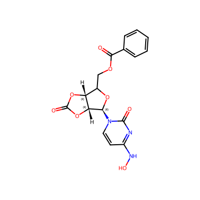 O=C1O[C@@H]2[C@H](O1)C(COC(=O)c1ccccc1)O[C@H]2n1ccc(NO)nc1=O